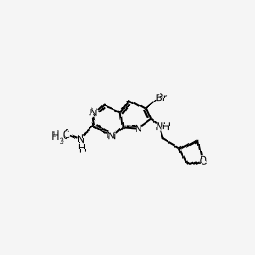 CNc1ncc2cc(Br)c(NCC3COC3)nc2n1